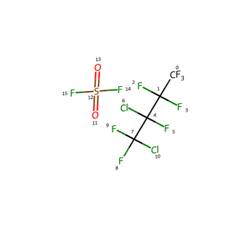 FC(F)(F)C(F)(F)C(F)(Cl)C(F)(F)Cl.O=S(=O)(F)F